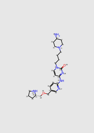 NC1CCN(CCCCn2ccc(Nc3ccc(COC[C@@H]4CCCN4)cn3)nc2=O)CC1